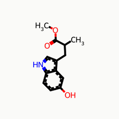 COC(=O)C(C)Cc1c[nH]c2ccc(O)cc12